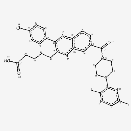 Cc1cnc(C)c(N2CCN(C(=O)c3ccc4nc(-c5ccc(Cl)cc5)c(CCCCC(=O)O)nc4c3)CC2)n1